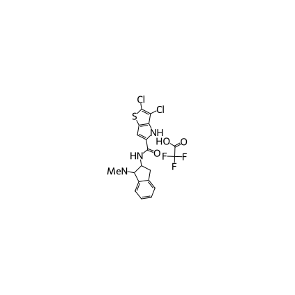 CNC1c2ccccc2CC1NC(=O)c1cc2sc(Cl)c(Cl)c2[nH]1.O=C(O)C(F)(F)F